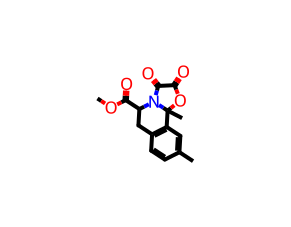 COC(=O)C1Cc2ccc(C)cc2C2(C)OC(=O)C(=O)N12